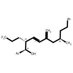 C=C(/C=C/[C@@H](CCC(F)(F)F)[C@@H](O)C(C)=O)C[C@H](C)CCC(C)C